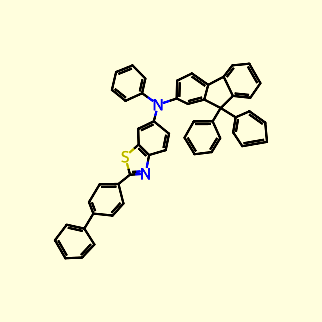 c1ccc(-c2ccc(-c3nc4ccc(N(c5ccccc5)c5ccc6c(c5)C(c5ccccc5)(c5ccccc5)c5ccccc5-6)cc4s3)cc2)cc1